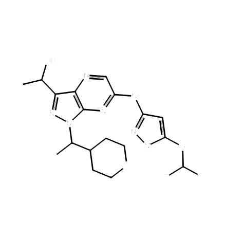 CC(O)c1nn(C(C)C2CCOCC2)c2nc(Nc3cc(OC(F)F)[nH]n3)cnc12